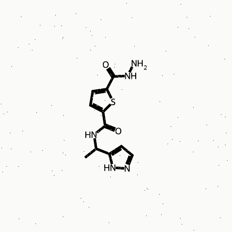 CC(NC(=O)c1ccc(C(=O)NN)s1)c1ccn[nH]1